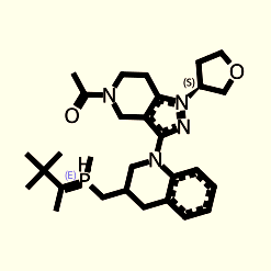 CC(=O)N1CCc2c(c(N3CC(C/[PH](C)=C(\C)C(C)(C)C)Cc4ccccc43)nn2[C@H]2CCOC2)C1